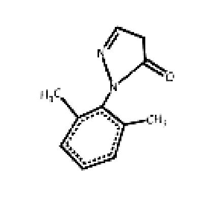 Cc1cccc(C)c1N1N=CCC1=O